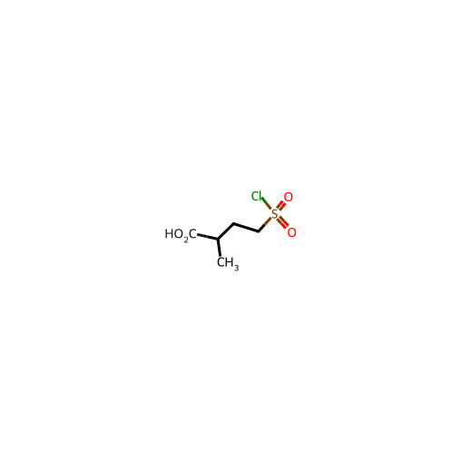 CC(CCS(=O)(=O)Cl)C(=O)O